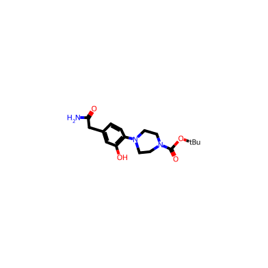 CC(C)(C)OC(=O)N1CCN(c2ccc(CC(N)=O)cc2O)CC1